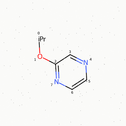 CC(C)Oc1cn[c]cn1